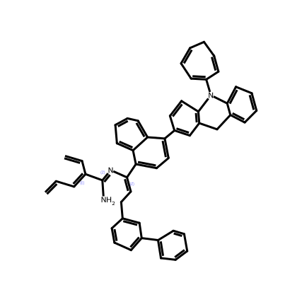 C=C/C=C(C=C)/C(N)=N/C(=C\Cc1cccc(-c2ccccc2)c1)c1ccc(-c2ccc3c(c2)Cc2ccccc2N3C2=CC=CCC=C2)c2ccccc12